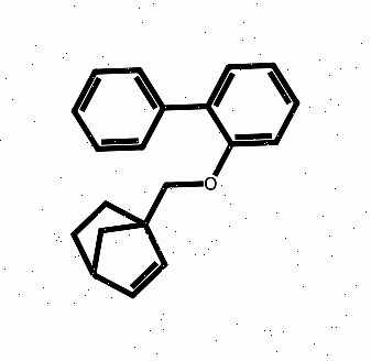 C1=CC2(COc3ccccc3-c3ccccc3)CCC1C2